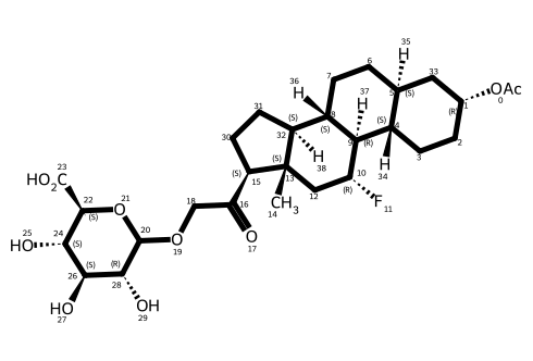 CC(=O)O[C@@H]1CC[C@H]2[C@@H](CC[C@@H]3[C@@H]2[C@H](F)C[C@]2(C)[C@@H](C(=O)COC4O[C@H](C(=O)O)[C@@H](O)[C@H](O)[C@H]4O)CC[C@@H]32)C1